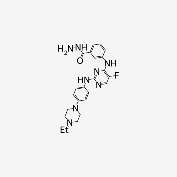 CCN1CCN(c2ccc(Nc3ncc(F)c(Nc4cccc(C(=O)NN)c4)n3)cc2)CC1